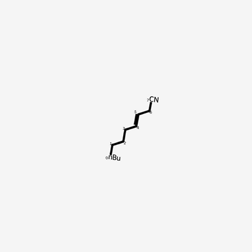 CCCCCCCC=C[CH]C#N